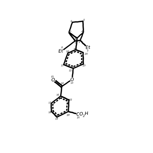 CCC1C(CC)C2CCC1C2c1ccc(OC(=O)c2cccc(C(=O)O)c2)cc1